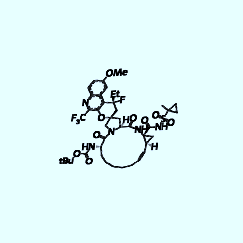 CC[C@@]1(F)C[C@]2(C[C@H]3C(=O)N[C@]4(C(=O)NS(=O)(=O)C5(C)CC5)C[C@H]4/C=C\CCCCC[C@H](NC(=O)OC(C)(C)C)C(=O)N3C2)Oc2c(C(F)(F)F)nc3ccc(OC)cc3c21